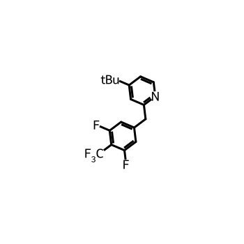 CC(C)(C)c1ccnc(Cc2cc(F)c(C(F)(F)F)c(F)c2)c1